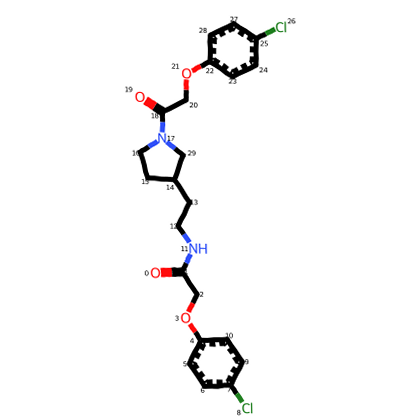 O=C(COc1ccc(Cl)cc1)NCCC1CCN(C(=O)COc2ccc(Cl)cc2)C1